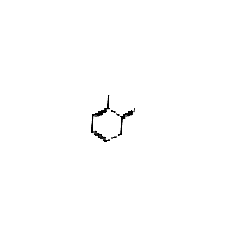 O=C1CC=C[C]=C1F